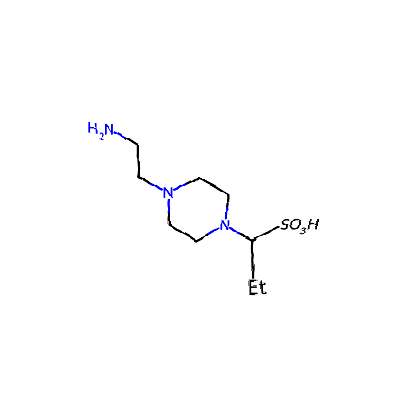 CCC(N1CCN(CCN)CC1)S(=O)(=O)O